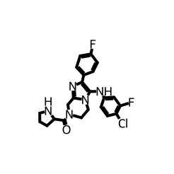 O=C(C1CCCN1)N1CCn2c(nc(-c3ccc(F)cc3)c2Nc2ccc(Cl)c(F)c2)C1